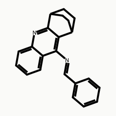 C(=Nc1c2c(nc3ccccc13)C1CCC2CC1)c1ccccc1